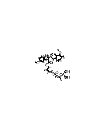 COc1ccc2nc([S+]([O-])Cc3ncc(C)c(OC)c3C)n(C(=O)OC/C=C\COC(=O)OC(C)ON(O)O)c2c1